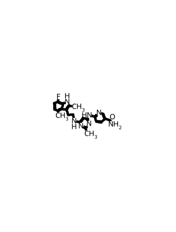 Cc1nc(NCCc2c(C)[nH]c3c(F)ccc(C)c23)cc(Nc2ccc(C(N)=O)cn2)n1